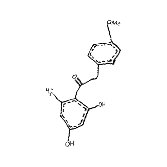 COc1ccc(CC(=O)c2c(C)cc(O)cc2O)cc1